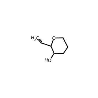 C=CC1OCCCC1O